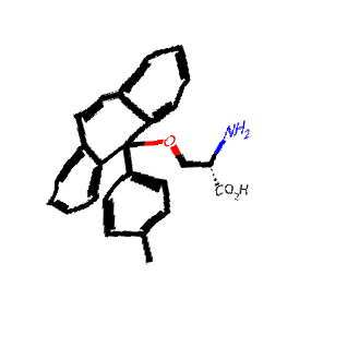 Cc1ccc(C2(OC[C@H](N)C(=O)O)c3ccccc3C=Cc3ccccc32)cc1